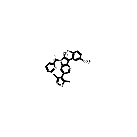 Cc1noc(C)c1-c1cnc2c(-c3cc(C(=O)O)ccc3Cl)c(C(F)(F)F)n([C@@H](C)c3ccccn3)c2c1